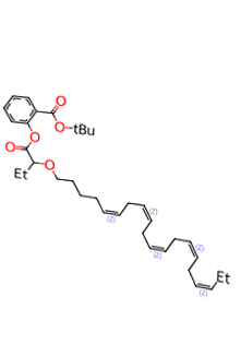 CC/C=C\C/C=C\C/C=C\C/C=C\C/C=C\CCCCOC(CC)C(=O)Oc1ccccc1C(=O)OC(C)(C)C